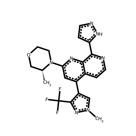 C[C@@H]1COCCN1c1cc(-c2cn(C)nc2C(F)(F)F)c2ccnc(-c3ccn[nH]3)c2n1